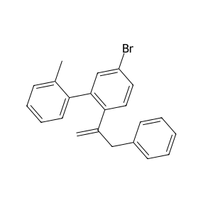 C=C(Cc1ccccc1)c1ccc(Br)cc1-c1ccccc1C